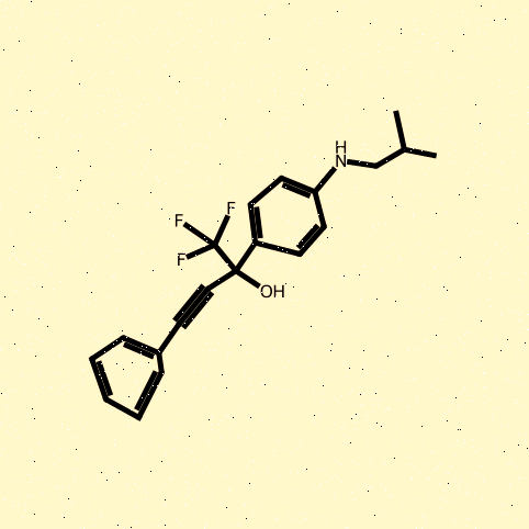 CC(C)CNc1ccc(C(O)(C#Cc2ccccc2)C(F)(F)F)cc1